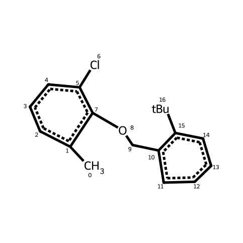 Cc1cccc(Cl)c1OCc1ccccc1C(C)(C)C